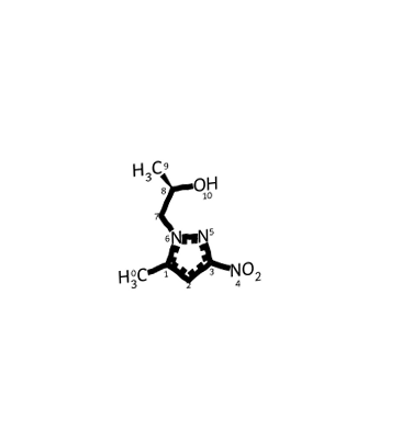 Cc1cc([N+](=O)[O-])nn1C[C@@H](C)O